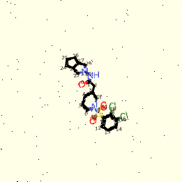 O=C(CC1CCCN(S(=O)(=O)c2cccc(Cl)c2Cl)C1)NN1CC2CCCC2C1